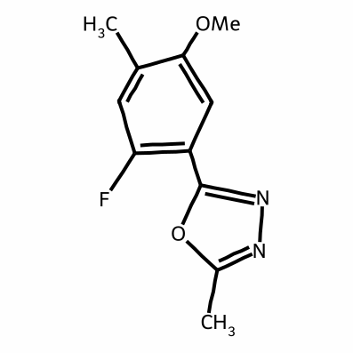 COc1cc(-c2nnc(C)o2)c(F)cc1C